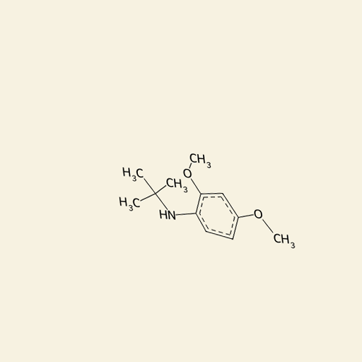 COc1ccc(NC(C)(C)C)c(OC)c1